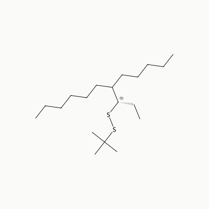 CCCCCCC(CCCCC)[C@H](CC)SSC(C)(C)C